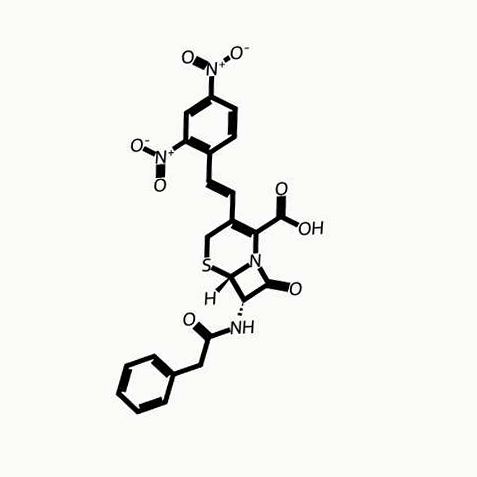 O=C(Cc1ccccc1)N[C@H]1C(=O)N2C(C(=O)O)=C(/C=C/c3ccc([N+](=O)[O-])cc3[N+](=O)[O-])CS[C@@H]12